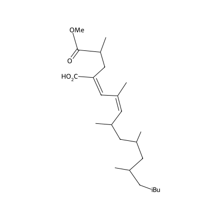 CCC(C)CC(C)CC(C)CC(C)C=C(C)C=C(CC(C)C(=O)OC)C(=O)O